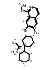 CCCCOc1nccc2cc(O[C@H]3CC[C@@](C(N)CC)(C4CCOCC4)CC3)c(Cl)cc12